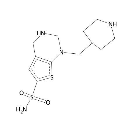 NS(=O)(=O)c1cc2c(s1)N(CC1CCNCC1)CNC2